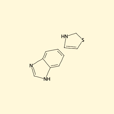 C1=CSCN1.c1ccc2[nH]cnc2c1